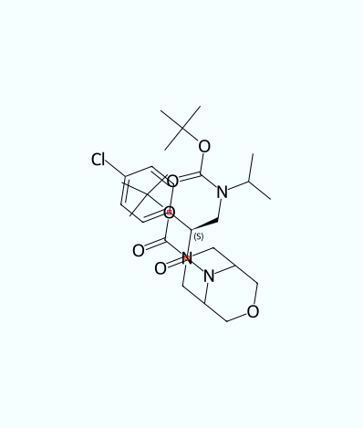 CC(C)N(C[C@@H](C(=O)N1C2COCC1CN(C(=O)OC(C)(C)C)C2)c1ccc(Cl)cc1)C(=O)OC(C)(C)C